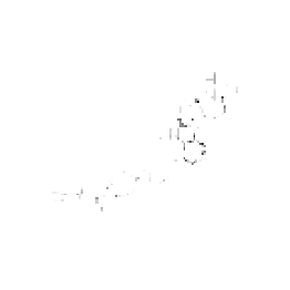 C[C@@H](CCc1cccc2c1n(C)c(=O)n2C1CCC(=O)NC1=O)OC1CCN(C(=O)OC(C)(C)C)CC1